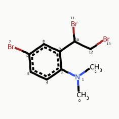 CN(C)c1ccc(Br)cc1C(Br)CBr